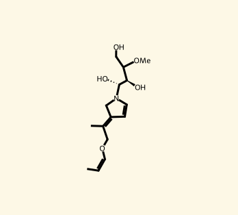 C/C=C\OC/C(C)=C1\C=CN([C@H](O)[C@H](O)C(CO)OC)C1